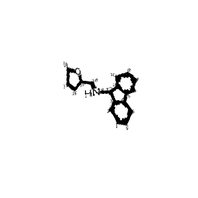 c1ccc2c(c1)-c1ccccc1C2NCC1CCCO1